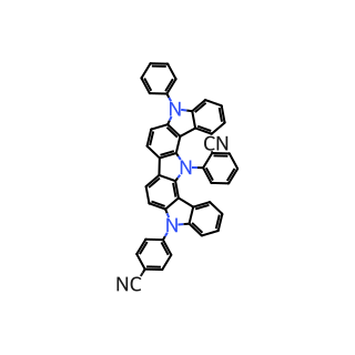 N#Cc1ccc(-n2c3ccccc3c3c2ccc2c4ccc5c(c6ccccc6n5-c5ccccc5)c4n(-c4ccccc4C#N)c23)cc1